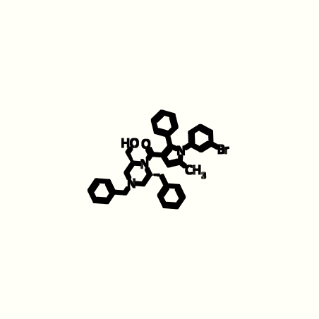 Cc1cc(C(=O)N2[C@H](CO)CN(Cc3ccccc3)C[C@H]2Cc2ccccc2)c(-c2ccccc2)n1-c1cccc(Br)c1